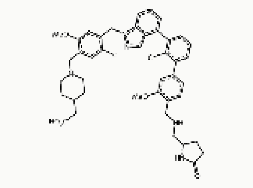 COc1cc(-c2cccc(-c3cccc4c3cnn4Cc3cc(OC)c(CN4CCC(CC(=O)O)CC4)cc3Cl)c2Cl)ccc1CNCC1CCC(=O)N1